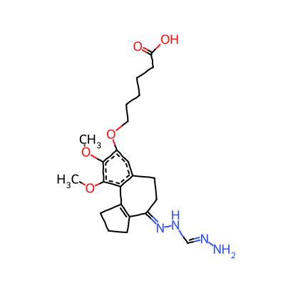 COc1c(OCCCCCC(=O)O)cc2c(c1OC)C1=C(CCC1)C(=NNC=NN)CC2